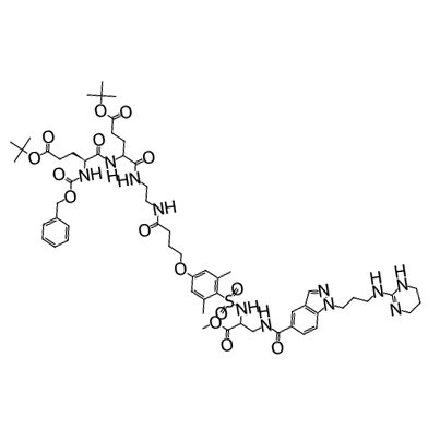 COC(=O)C(CNC(=O)c1ccc2c(cnn2CCCNC2=NCCCN2)c1)NS(=O)(=O)c1c(C)cc(OCCCC(=O)NCCNC(=O)C(CCC(=O)OC(C)(C)C)NC(=O)[C@H](CCC(=O)OC(C)(C)C)NC(=O)OCc2ccccc2)cc1C